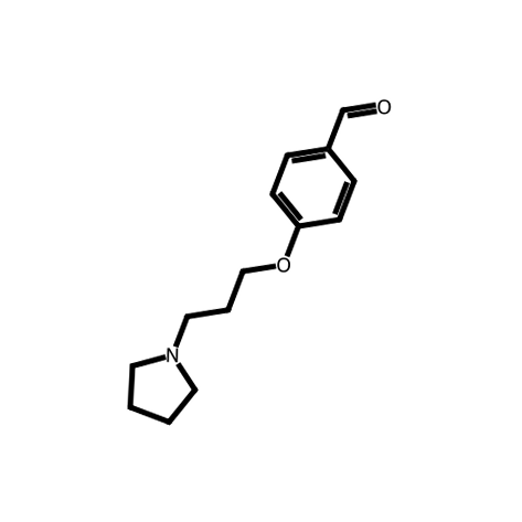 O=Cc1ccc(OCCCN2CCCC2)cc1